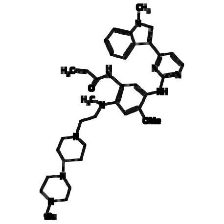 C=CC(=O)Nc1cc(Nc2nccc(-c3cn(C)c4ccccc34)n2)c(OC)cc1N(C)CCN1CCC(N2CCN(C(C)(C)C)CC2)CC1